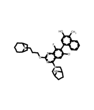 Cc1c(O)cc(-c2c(Cl)cc3c(N4CC5CCC(C4)N5)nc(OCCCN4C5CCCC4CC5)nc3c2F)c2ccccc12